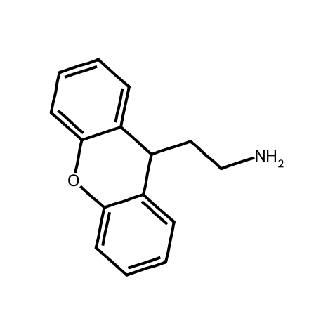 NCCC1c2ccccc2Oc2ccccc21